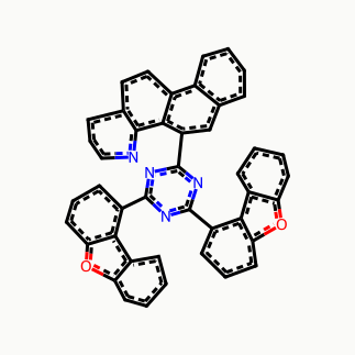 c1ccc2c(c1)cc(-c1nc(-c3cccc4oc5ccccc5c34)nc(-c3cccc4oc5ccccc5c34)n1)c1c2ccc2cccnc21